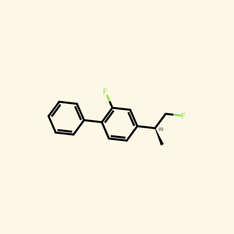 C[C@H](CF)c1ccc(-c2ccccc2)c(F)c1